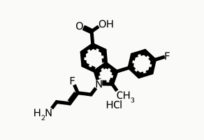 Cc1c(-c2ccc(F)cc2)c2cc(C(=O)O)ccc2n1CC(F)=CCN.Cl